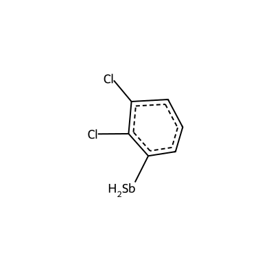 Clc1ccc[c]([SbH2])c1Cl